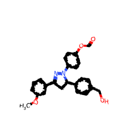 COc1cccc(C2=NN(c3ccc(OC=O)cc3)C(c3ccc(CO)cc3)C2)c1